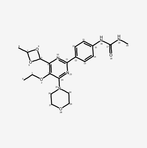 CCOc1c(C2OC(C)O2)nc(-c2ccc(NC(=O)NC)cc2)nc1N1CCOCC1